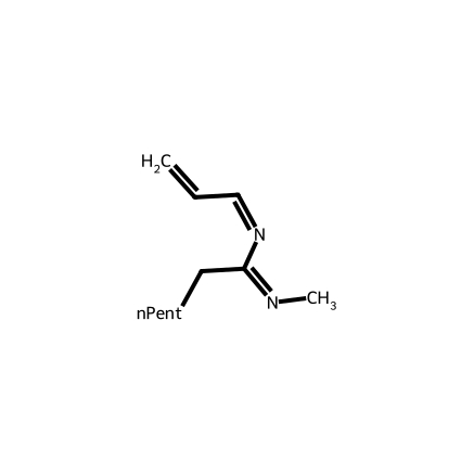 C=C/C=N\C(CCCCCC)=N/C